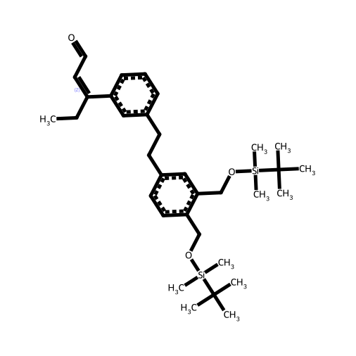 CC/C(=C/C=O)c1cccc(CCc2ccc(CO[Si](C)(C)C(C)(C)C)c(CO[Si](C)(C)C(C)(C)C)c2)c1